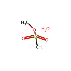 COS(C)(=O)=O.O